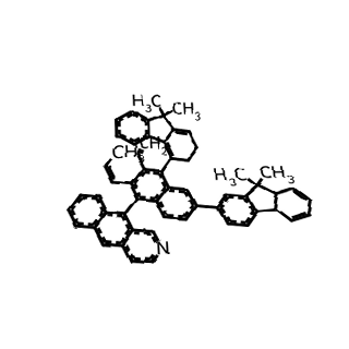 C=Cc1c(/C=C\C)c(-c2c3ccccc3cc3ccncc23)c2ccc(-c3ccc4c(c3)C(C)(C)C3C=CC=CC43)cc2c1C1=C2C(=CCC1)C(C)(C)c1ccccc12